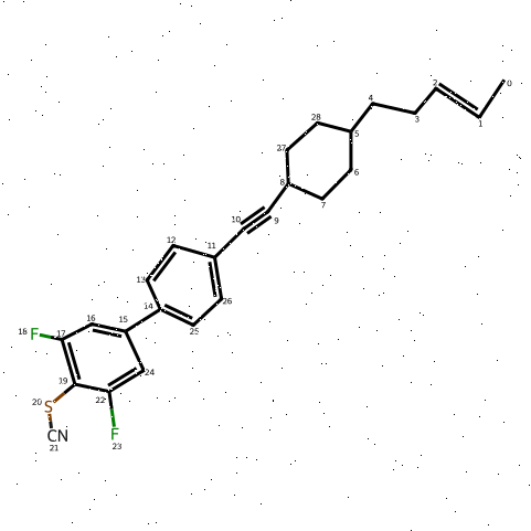 C/C=C/CCC1CCC(C#Cc2ccc(-c3cc(F)c(SC#N)c(F)c3)cc2)CC1